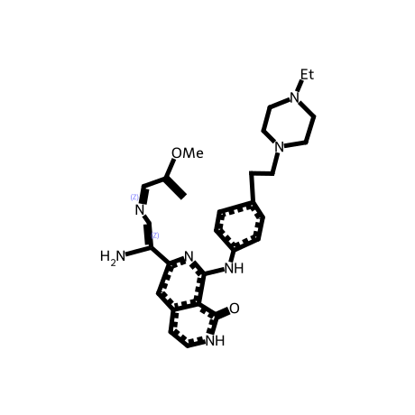 C=C(/C=N\C=C(/N)c1cc2cc[nH]c(=O)c2c(Nc2ccc(CCN3CCN(CC)CC3)cc2)n1)OC